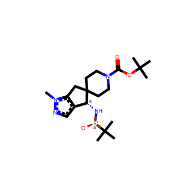 Cn1ncc2c1CC1(CCN(C(=O)OC(C)(C)C)CC1)[C@@H]2N[S@+]([O-])C(C)(C)C